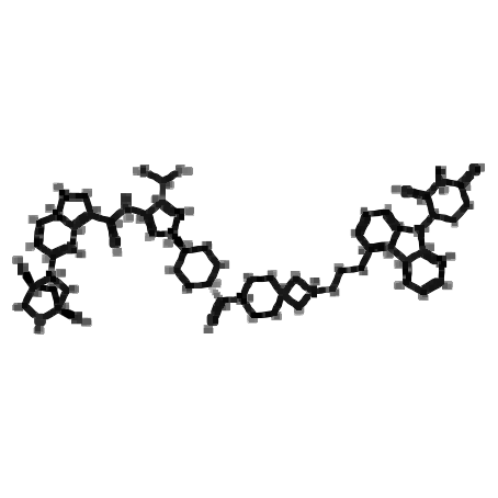 O=C1CCC(n2c3cccc(CCCN4CC5(CCN(C(=O)[C@H]6CC[C@H](n7cc(NC(=O)c8cnn9ccc(N%10C[C@H]%11C[C@@H]%10CO%11)nc89)c(C(F)F)n7)CC6)CC5)C4)c3c3cccnc32)C(=O)N1